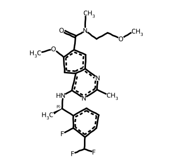 COCCN(C)C(=O)c1cc2nc(C)nc(N[C@H](C)c3cccc(C(F)F)c3F)c2cc1OC